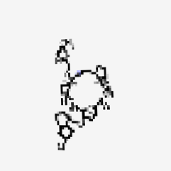 Cn1cnc(CO[C@H]2/C=C/CC3CCC[C@@H]3S(=O)(=O)NC(=O)c3ccc4c(c3)N(C[C@@H]3CC[C@H]32)C[C@@]2(CCCc3cc(Cl)ccc32)CO4)n1